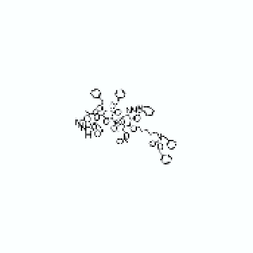 COC(=O)C1O[C@@H](O[C@H]2C3CO[C@H](O3)C(N=[N+]=[N-])C2OC(C)=O)C(OCc2ccccc2)C(OCc2ccccc2)[C@@H]1O[C@H]1OC(COC(C)=O)[C@@H](OCCCCCN(Cc2ccccc2)C(=O)OCc2ccccc2)C(OCc2ccccc2)C1N=[N+]=[N-]